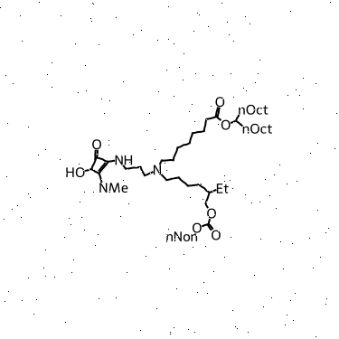 CCCCCCCCCOC(=O)OCC(CC)CCCCN(CCCCCCCC(=O)OC(CCCCCCCC)CCCCCCCC)CCCNC1=C(NC)C(O)C1=O